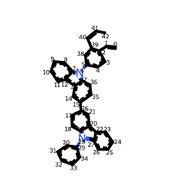 C=Cc1ccc(-n2c3ccccc3c3cc(-c4ccc5c(c4)c4ccccc4n5-c4ccccc4)ccc32)cc1/C=C\C